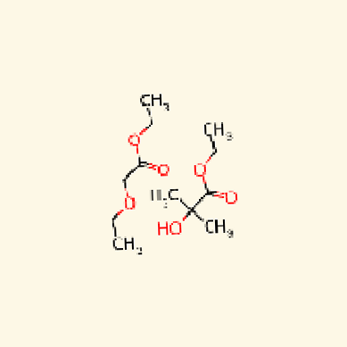 CCOC(=O)C(C)(C)O.CCOCC(=O)OCC